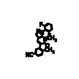 Cc1ccc(C#N)cc1-c1cc2cnn(-c3c(F)cccc3F)c2n(C)c1=O